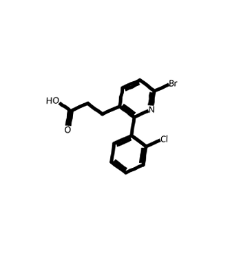 O=C(O)CCc1ccc(Br)nc1-c1ccccc1Cl